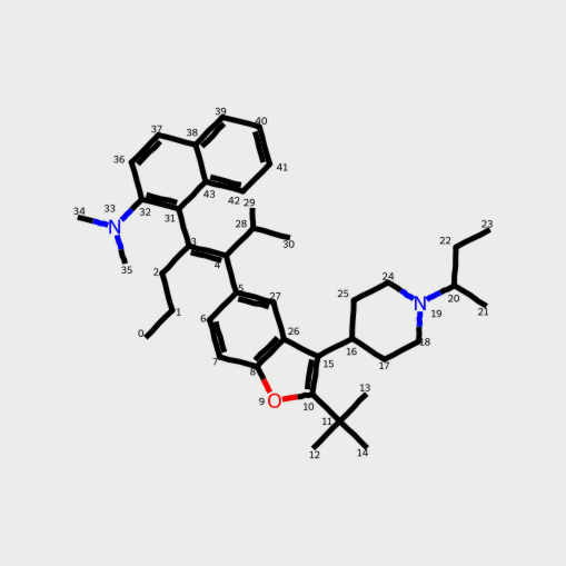 CCCC(=C(c1ccc2oc(C(C)(C)C)c(C3CCN(C(C)CC)CC3)c2c1)C(C)C)c1c(N(C)C)ccc2ccccc12